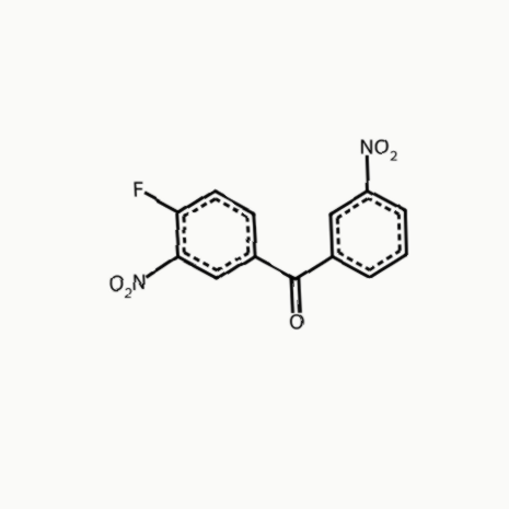 O=C(c1cccc([N+](=O)[O-])c1)c1ccc(F)c([N+](=O)[O-])c1